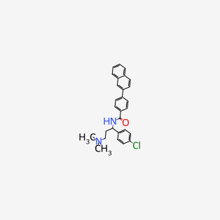 CN(C)CCC(NC(=O)c1ccc(-c2ccc3ccccc3c2)cc1)c1ccc(Cl)cc1